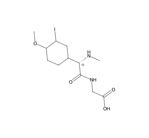 CN[C@H](C(=O)NCC(=O)O)C1CCC(OC)C(I)C1